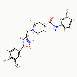 C[C@@H]1C[C@H](C(=O)Nc2cccc(C(F)(F)F)c2)CCN1Cc1noc(-c2ccc(F)c(C(F)(F)F)c2)n1